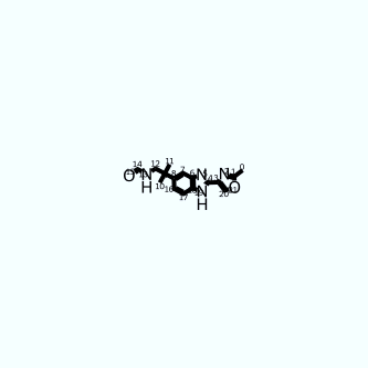 Cc1nc(-c2nc3cc(C(C)(C)CNC=O)ccc3[nH]2)co1